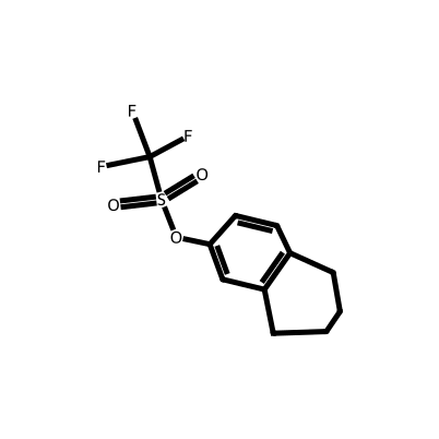 O=S(=O)(Oc1ccc2c(c1)CCCC2)C(F)(F)F